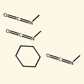 C1CCCCC1.CN=C=O.CN=C=O.CN=C=O